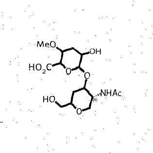 COC1CC(O)C(OC2CC(CO)OC[C@H]2NC(C)=O)OC1C(=O)O